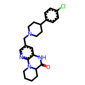 O=C1Nc2cc(CN3CCC(c4ccc(Cl)cc4)CC3)cnc2N2CCCCC12